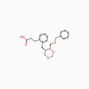 O=C(O)CCc1ccccc1C[C@@H]1COCO[C@@H]1COCc1ccccc1